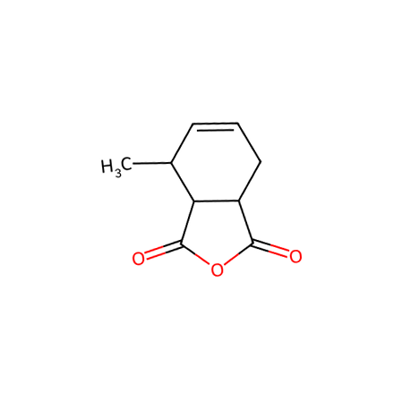 CC1C=CCC2C(=O)OC(=O)C12